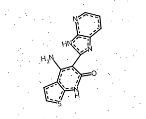 Nc1c(-c2nc3cccnc3[nH]2)c(=O)[nH]c2sccc12